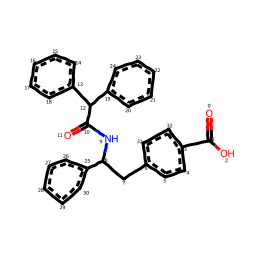 O=C(O)c1ccc(CC(NC(=O)C(c2ccccc2)c2ccccc2)c2ccccc2)cc1